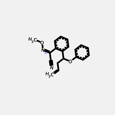 C=CCC(Oc1ccccc1)c1ccccc1/C(C#N)=N\OC